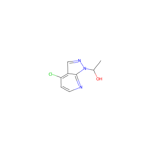 CC(O)n1ncc2c(Cl)ccnc21